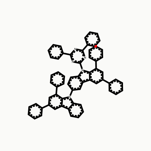 c1ccc(-c2cc(-c3ccccc3)c3c(c2)c2ccccc2n3-c2ccc3c(c2)c2cc(-c4ccccc4)cc(-c4ccccc4)c2n3-c2nc(-c3ccccc3)nc(-c3ccccc3)n2)cc1